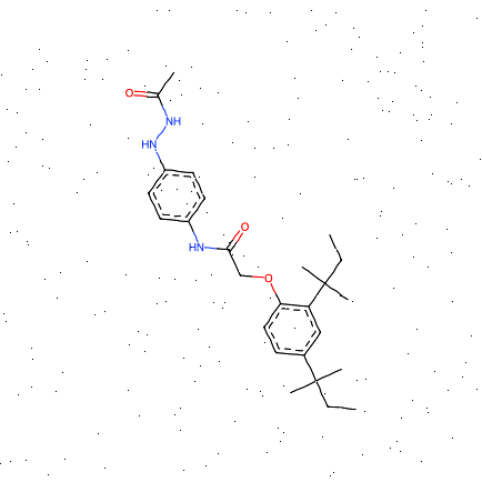 CCC(C)(C)c1ccc(OCC(=O)Nc2ccc(NNC(C)=O)cc2)c(C(C)(C)CC)c1